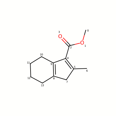 COC(=O)C1=C(C)CC2=C1CCCC2